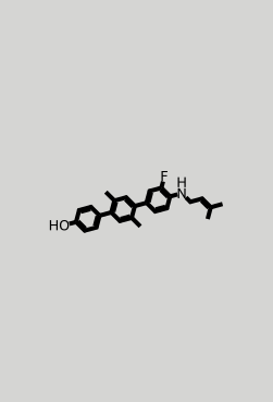 CC(C)=CCNc1ccc(-c2cc(C)c(-c3ccc(O)cc3)cc2C)cc1F